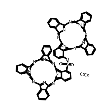 O=S(=O)(Oc1cccc2c3nc4nc(nc5[nH]c(nc6nc(nc([nH]3)c12)-c1ccccc1-6)c1ccccc51)-c1ccccc1-4)c1cccc2c3nc4nc(nc5[nH]c(nc6nc(nc([nH]3)c12)-c1ccccc1-6)c1ccccc51)-c1ccccc1-4.[Co].[Co]